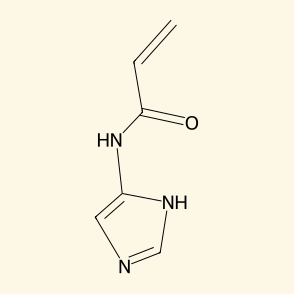 C=CC(=O)Nc1cnc[nH]1